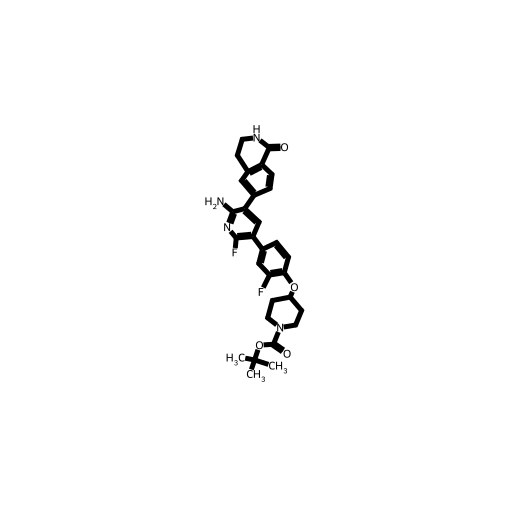 CC(C)(C)OC(=O)N1CCC(Oc2ccc(-c3cc(-c4ccc5c(c4)CCNC5=O)c(N)nc3F)cc2F)CC1